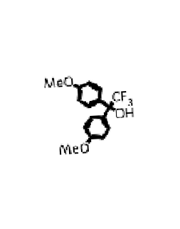 COc1ccc(C(O)(c2ccc(OC)cc2)C(F)(F)F)cc1